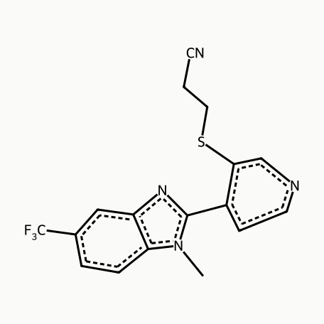 Cn1c(-c2ccncc2SCCC#N)nc2cc(C(F)(F)F)ccc21